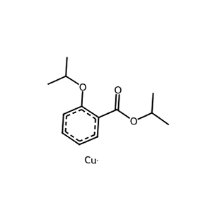 CC(C)OC(=O)c1ccccc1OC(C)C.[Cu]